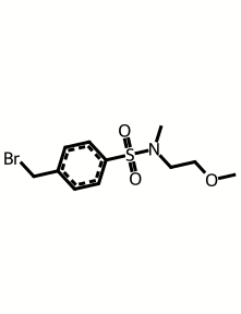 COCCN(C)S(=O)(=O)c1ccc(CBr)cc1